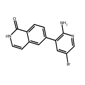 Nc1ncc(Br)cc1-c1ccc2c(=O)[nH]ccc2c1